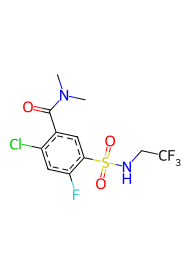 CN(C)C(=O)c1cc(S(=O)(=O)NCC(F)(F)F)c(F)cc1Cl